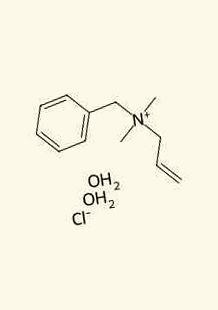 C=CC[N+](C)(C)Cc1ccccc1.O.O.[Cl-]